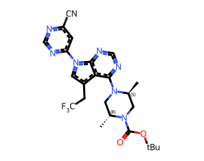 C[C@@H]1CN(c2ncnc3c2c(CC(F)(F)F)cn3-c2cc(C#N)ncn2)[C@@H](C)CN1C(=O)OC(C)(C)C